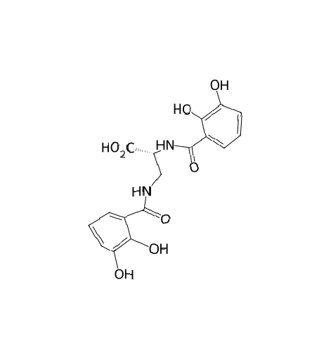 O=C(NC[C@@H](NC(=O)c1cccc(O)c1O)C(=O)O)c1cccc(O)c1O